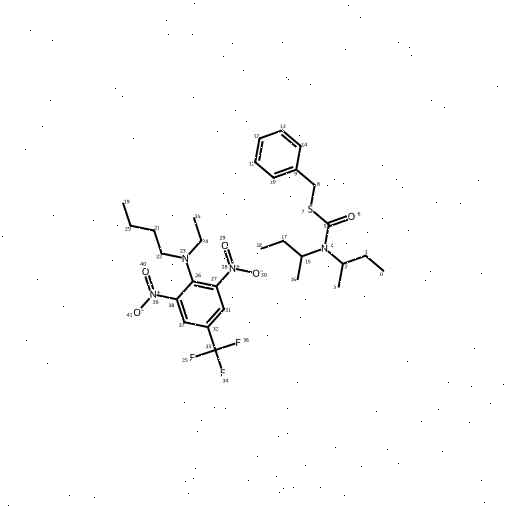 CCC(C)N(C(=O)SCc1ccccc1)C(C)CC.CCCCN(CC)c1c([N+](=O)[O-])cc(C(F)(F)F)cc1[N+](=O)[O-]